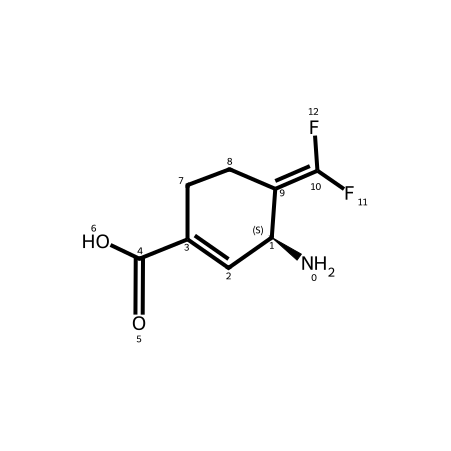 N[C@H]1C=C(C(=O)O)CCC1=C(F)F